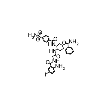 NC(=O)c1ccccc1.Nc1ccc(I)cc1C(=O)NCC(=O)N[C@H]1CCCC[C@H]1NC(=O)c1ccc(S(N)(=O)=O)cc1